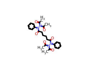 CC(=O)N(C(C)=O)N(C(=O)CCCCC(=O)N(c1ccccc1)N(C(C)=O)C(C)=O)c1ccccc1